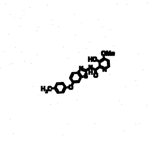 COc1ccnc(C(=O)Nc2nc3ccc(Oc4ccc(C)cc4)cc3s2)c1O